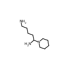 NCCCCC(N)N1CCCCC1